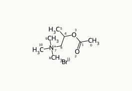 CC(=O)OC(C)C[N+](C)(C)C.[Br-]